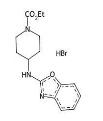 Br.CCOC(=O)N1CCC(Nc2nc3ccccc3o2)CC1